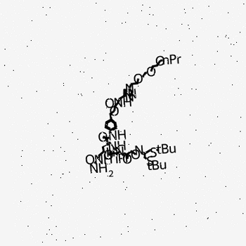 CCCOCCOCCOCCn1cc(CNC(=O)OCc2ccc(NC(=O)[C@H](CCCNC(N)=O)NC(=O)[C@@H](NC(=O)CON=C(CSC(C)(C)C)CSC(C)(C)C)C(C)C)cc2)nn1